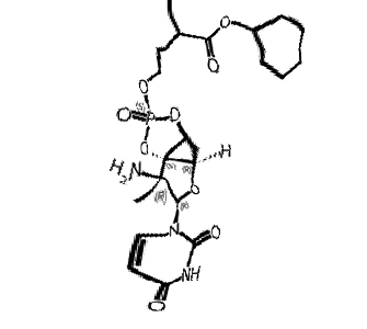 CC(CCO[P@@]1(=O)OC2[C@H]3O[C@@H](n4ccc(=O)[nH]c4=O)[C@](C)(N)[C@@]23O1)C(=O)OC1CCCCC1